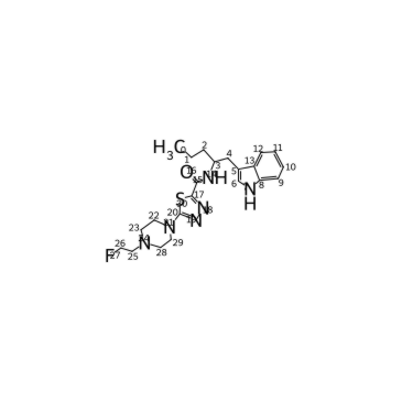 CCCC(Cc1c[nH]c2ccccc12)NC(=O)c1nnc(N2CCN(CCF)CC2)s1